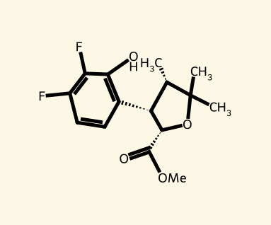 COC(=O)[C@H]1OC(C)(C)[C@@H](C)[C@H]1c1ccc(F)c(F)c1O